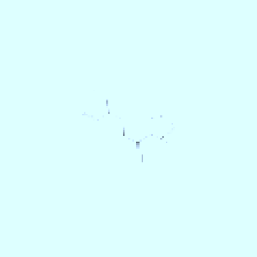 C=C(CCC1=CCCC=C1)C1CCC=N1